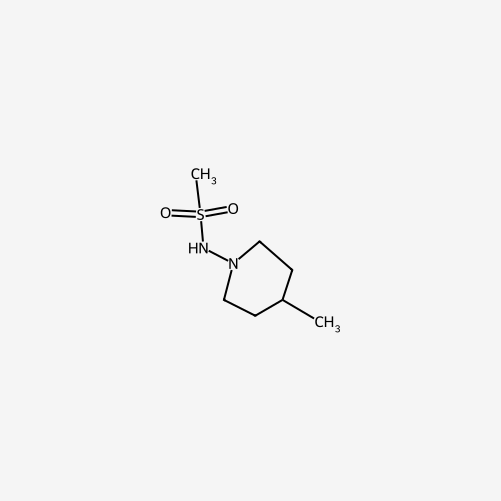 CC1CCN(NS(C)(=O)=O)CC1